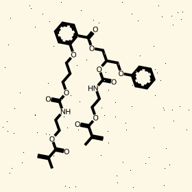 C=C(C)C(=O)OCCNC(=O)OCCCOc1ccccc1C(=O)OCC(COc1ccccc1)OC(=O)NCCOC(=O)C(=C)C